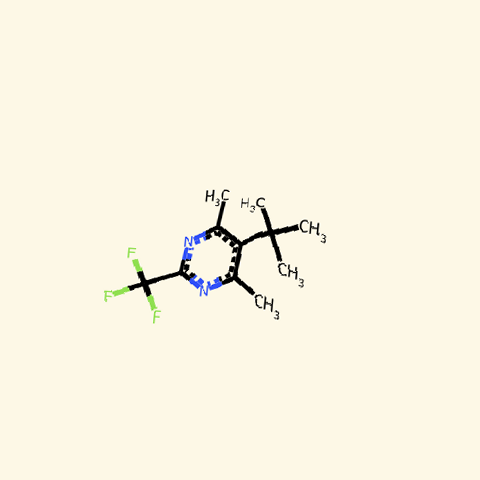 Cc1nc(C(F)(F)F)nc(C)c1C(C)(C)C